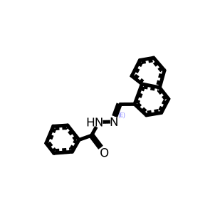 O=C(N/N=C/c1cccc2ccccc12)c1ccccc1